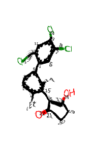 CCc1ccc(-c2cc(Cl)c(Cl)cc2Cl)cc1C1=C(O)CCC1=O